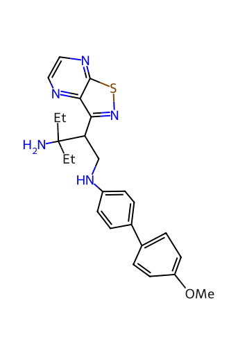 CCC(N)(CC)C(CNc1ccc(-c2ccc(OC)cc2)cc1)c1nsc2nccnc12